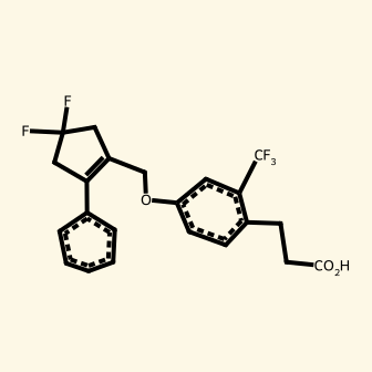 O=C(O)CCc1ccc(OCC2=C(c3ccccc3)CC(F)(F)C2)cc1C(F)(F)F